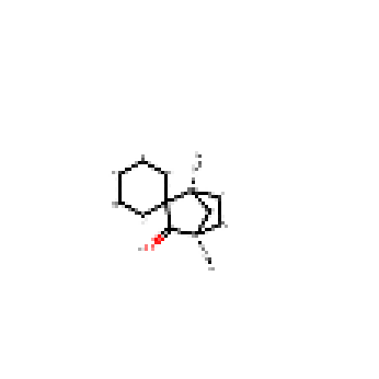 O=C1[C@@H]2CC[C@@H](C2)C12CCCCC2